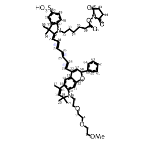 COCCOCCOCCN1c2cc3c(cc2C(C)=CC1(C)C)C(/C=C/C=C/C=C/C=C1\N(CCCCCC(=O)ON2C(=O)CCC2=O)c2ccc(S(=O)(=O)O)cc2C1(C)C)=CC(c1ccccc1)O3